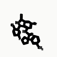 Cc1cccc(C2(C(=O)Nc3cc(Br)cc4c3C(c3cc(F)ccc3Cl)NC4=O)CCCC2)c1